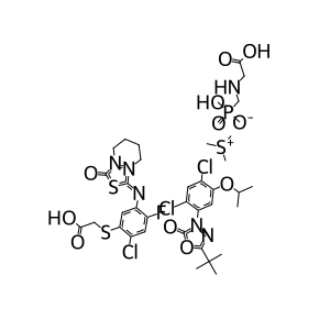 CC(C)Oc1cc(-n2nc(C(C)(C)C)oc2=O)c(Cl)cc1Cl.C[S+](C)C.O=C(O)CNCP(=O)([O-])O.O=C(O)CSc1cc(N=c2sc(=O)n3n2CCCC3)c(F)cc1Cl